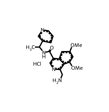 COc1cc(OC)c2c(CN)ncc(C(=O)NC(C)c3cccnc3)c2c1.Cl